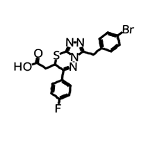 O=C(O)CC1Sc2nnc(Cc3ccc(Br)cc3)n2N=C1c1ccc(F)cc1